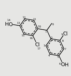 CC(c1ccc(O)cc1Cl)c1ccc(O)cc1Cl